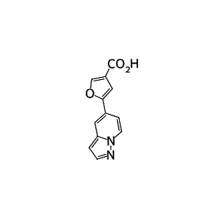 O=C(O)c1coc(-c2ccn3nccc3c2)c1